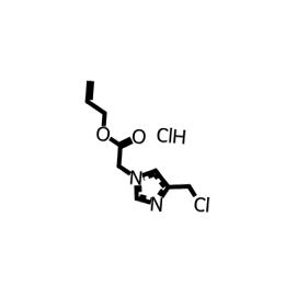 C=CCOC(=O)Cn1cnc(CCl)c1.Cl